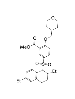 CCc1ccc2c(c1)CC[C@@H](CC)C2S(=O)(=O)c1ccc(OCC2CCOCC2)c(C(=O)OC)c1